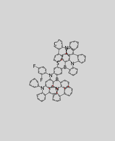 Fc1ccc(N2c3cc4c(cc3B3c5ccccc5N(c5ccccc5-c5ccccc5)c5cc(N(c6ccccc6)c6ccccc6-c6ccccc6)cc2c53)B2c3ccccc3N(c3ccccc3-c3ccccc3)c3cc(N(c5ccccc5)c5ccccc5-c5ccccc5)cc(c32)S4)c(F)c1